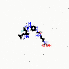 Cn1ncc(-c2nc(NC3CCC(NCC(=O)NCCCCNC(=O)O)CC3)ncc2F)c1CC1CC1